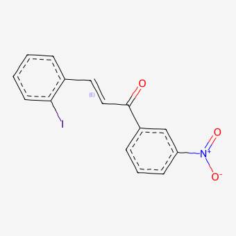 O=C(/C=C/c1ccccc1I)c1cccc([N+](=O)[O-])c1